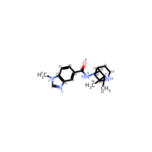 Cn1cnc2cc(C(=O)NC3C4CCN(CC4)C3(C)C)ccc21